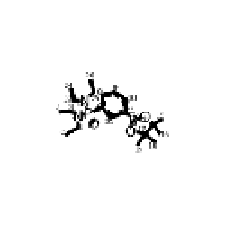 CCN(CC)P(=O)(c1cccc(B2OC(C)(C)C(C)(C)O2)c1)N(CC)CC